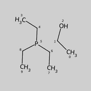 CCO.CCP(CC)CC